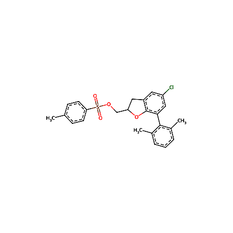 Cc1ccc(S(=O)(=O)OCC2Cc3cc(Cl)cc(-c4c(C)cccc4C)c3O2)cc1